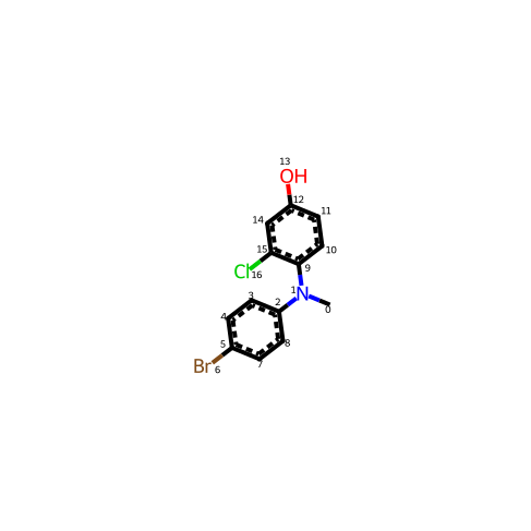 CN(c1ccc(Br)cc1)c1ccc(O)cc1Cl